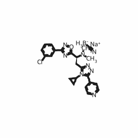 CN(C)[C@@H](Cc1nnc(-c2ccncc2)n1C1CC1)c1nc(-c2cccc(Cl)c2)no1.[BH3-]C#N.[Na+]